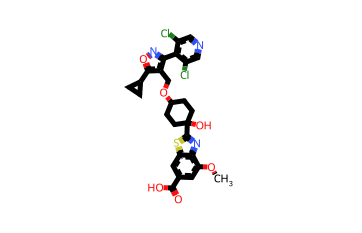 COc1cc(C(=O)O)cc2sc(C3(O)CCC(OCc4c(-c5c(Cl)cncc5Cl)noc4C4CC4)CC3)nc12